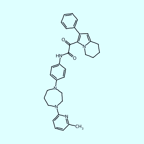 Cc1cccc(N2CCCN(c3ccc(NC(=O)C(=O)c4c(-c5ccccc5)cc5n4CCCC5)cc3)CC2)n1